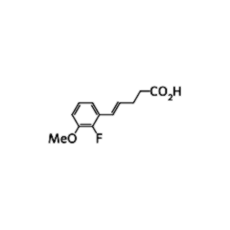 COc1cccc(/C=C/CCC(=O)O)c1F